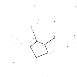 IC1CCCC1I